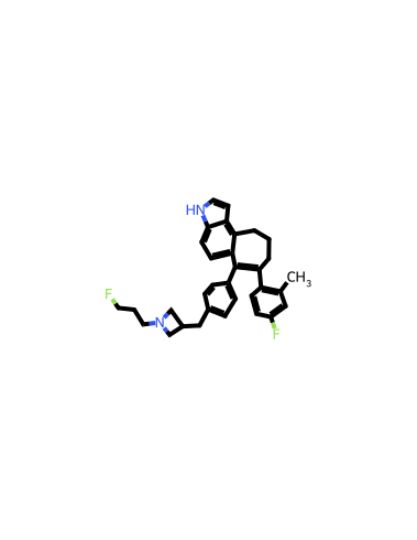 Cc1cc(F)ccc1C1=C(c2ccc(CC3CN(CCCF)C3)cc2)c2ccc3[nH]ccc3c2CCC1